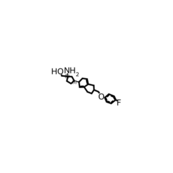 N[C@]1(CO)CC[C@H](C2C=C3CCC(COc4ccc(F)cc4)CC3=CC2)C1